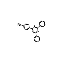 Brc1ccc(-c2nc(-c3ccccc3)nc(-c3ccccc3)c2I)cc1